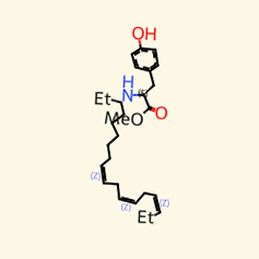 CC/C=C\C/C=C\C/C=C\CCCCCC(CC)N[C@@H](Cc1ccc(O)cc1)C(=O)OC